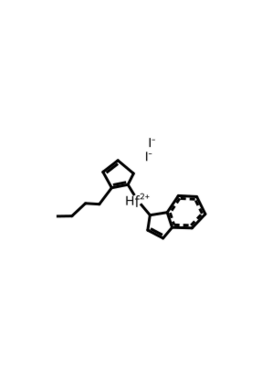 CCCCC1=[C]([Hf+2][CH]2C=Cc3ccccc32)CC=C1.[I-].[I-]